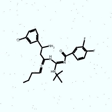 CCCC=C=C(CC(N)c1cccc(Cl)c1)N/C(=N\C(=O)c1ccc(F)c(F)c1)NC(C)(C)C